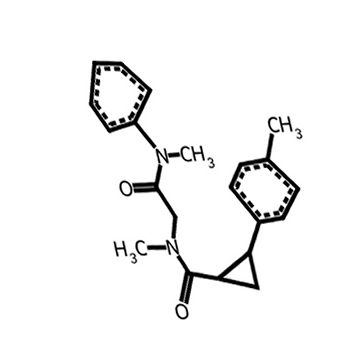 Cc1ccc(C2CC2C(=O)N(C)CC(=O)N(C)c2ccccc2)cc1